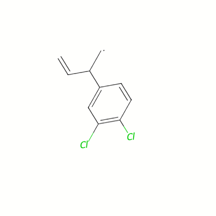 [CH2]C(C=C)c1ccc(Cl)c(Cl)c1